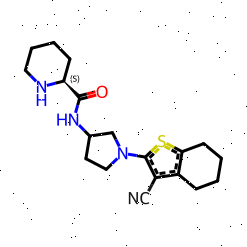 N#Cc1c(N2CCC(NC(=O)[C@@H]3CCCCN3)C2)sc2c1CCCC2